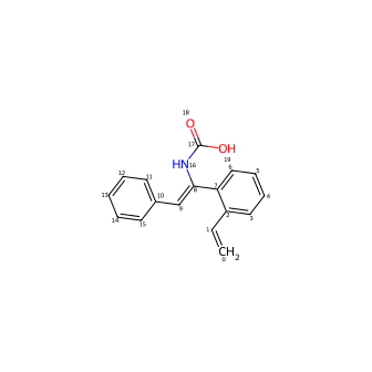 C=Cc1ccccc1C(=Cc1ccccc1)NC(=O)O